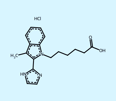 Cc1c(-c2ncc[nH]2)n(CCCCCC(=O)O)c2ccccc12.Cl